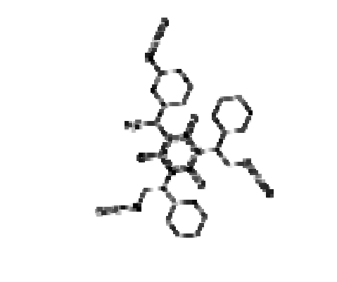 CC(C1CCCC(N=C=O)C1)n1c(=O)n(C(CN=C=O)C2CCCCC2)c(=O)n(C(CN=C=O)C2CCCCC2)c1=O